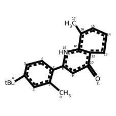 Cc1cc(C(C)(C)C)ccc1-c1cc(=O)c2cccc(C)c2[nH]1